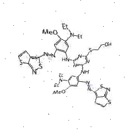 CCN(CC)c1cc(Nc2nc(Nc3cc(N(CC)CC)c(OC)cc3/N=N/c3snc4sccc34)nc(SCCO)n2)c(/N=N/c2snc3sccc23)cc1OC